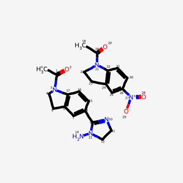 CC(=O)N1CCc2cc(C3=NCCN3N)ccc21.CC(=O)N1CCc2cc([N+](=O)[O-])ccc21